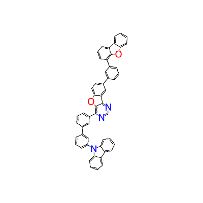 c1cc(-c2ccc3oc4c(-c5cccc(-c6cccc(-n7c8ccccc8c8ccccc87)c6)c5)ncnc4c3c2)cc(-c2cccc3c2oc2ccccc23)c1